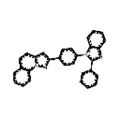 c1ccc(-c2nc3ccccc3n2-c2ccc(-c3cc4ccc5ccccc5n4n3)cc2)cc1